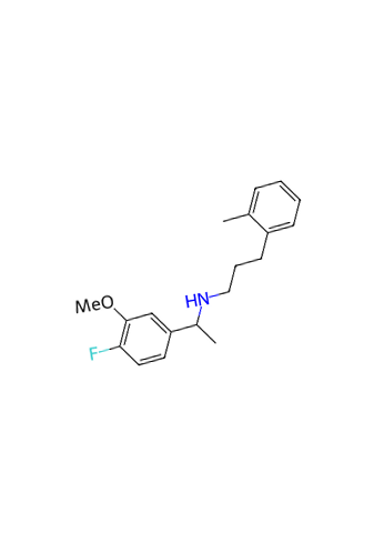 COc1cc(C(C)NCCCc2ccccc2C)ccc1F